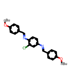 CCCCOc1ccc(C=Nc2ccc(N=Cc3ccc(OCCCC)cc3)c(Cl)c2)cc1